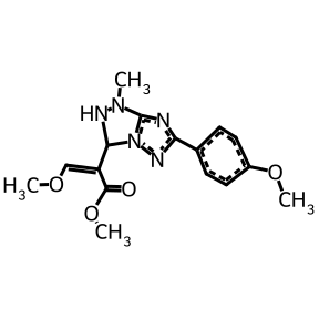 COC=C(C(=O)OC)C1NN(C)c2nc(-c3ccc(OC)cc3)nn21